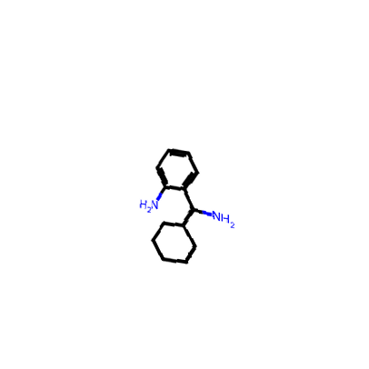 Nc1ccccc1C(N)C1CCCCC1